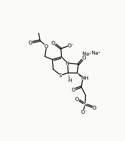 CC(=O)OCC1=C(C(=O)[O-])N2C(=O)[C@@H](NC(=O)CS(=O)(=O)[O-])[C@H]2SC1.[Na+].[Na+]